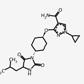 CC(C)CC1NC(=O)N([C@H]2CC[C@H](Oc3nn(C4CC4)cc3C(N)=O)CC2)C1=O